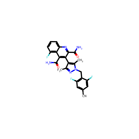 Cc1c(-c2c(C(N)=O)nc3cccc(F)c3c2C(N)=O)c(C(F)(F)F)nn1Cc1c(F)cc(C#N)cc1F